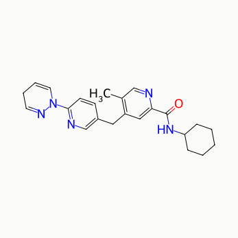 Cc1cnc(C(=O)NC2CCCCC2)cc1Cc1ccc(N2C=CCC=N2)nc1